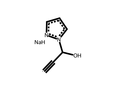 [C]#CC(O)n1cccn1.[NaH]